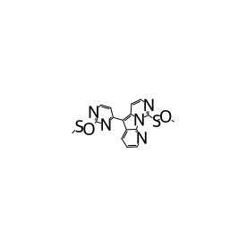 COSc1nccc2c(-c3ccnc(OSC)n3)c3cccnc3n12